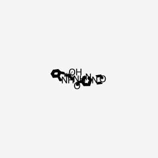 O=C(NC[C@@H](O)[C@@H]1Cc2ccccc2CN1)c1ccc(N2CCOCC2)nc1